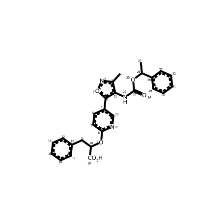 Cc1noc(-c2ccc(OC(Cc3ccccc3)C(=O)O)nc2)c1NC(=O)OC(C)c1ccccc1